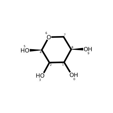 OC1C(O)[C@@H](O)OC[C@H]1O